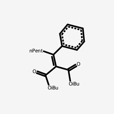 CCCCCC(=C(C(=O)OCC(C)C)C(=O)OCC(C)C)c1ccccc1